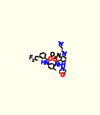 C1COCCN1.Cc1ccc(NC(=O)c2cccc(C(F)(F)F)c2)cc1NC(=O)c1cccc(N(C)CCCN(C)C)c1[N+](=O)[O-]